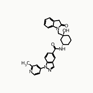 Cc1cc(-n2ncc3cc(C(=O)N[C@H]4CCC[C@@](O)(CN5C(=O)Cc6ccccc65)C4)ccc32)ccn1